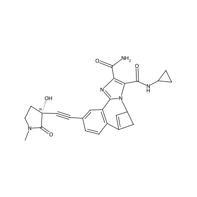 CN1CC[C@@](O)(C#Cc2ccc3c(c2)-c2nc(C(N)=O)c(C(=O)NC4CC4)n2C2C=C3C2)C1=O